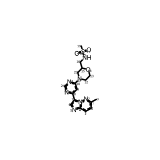 Cc1ccc2ncc(-c3cc(N4CCOC(CNS(C)(=O)=O)C4)ncn3)n2n1